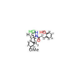 COc1ccc(CC(C)(C)NC(=O)CCc2ccccc2O)cc1.Cl